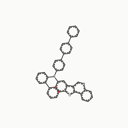 c1ccc(-c2ccc(-c3ccc(N(c4ccc5oc6c7ccccc7ncc6c5c4)c4ccccc4-c4ccccc4)cc3)cc2)cc1